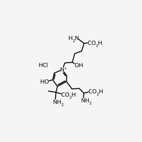 CC(N)(C(=O)O)c1c(O)c[n+](CC(O)CCC(N)C(=O)O)cc1CCC(N)C(=O)O.Cl